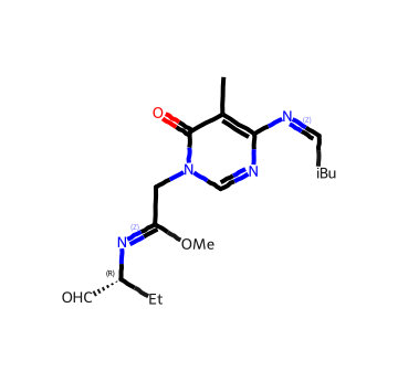 CCC(C)/C=N\c1ncn(C/C(=N/[C@@H](C=O)CC)OC)c(=O)c1C